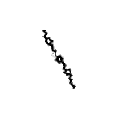 CCCCCCC1CCC(CCc2ccc(OCCCC3CCC(CCCC)CC3)cc2)CC1